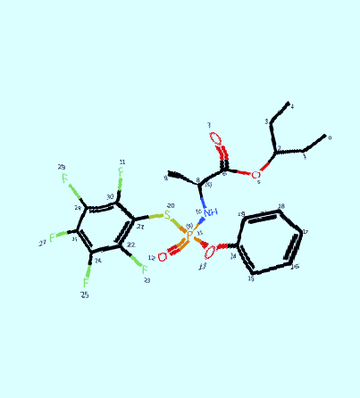 CCC(CC)OC(=O)[C@H](C)N[P@](=O)(Oc1ccccc1)Sc1c(F)c(F)c(F)c(F)c1F